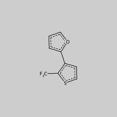 FC(F)(F)c1sccc1-c1ccco1